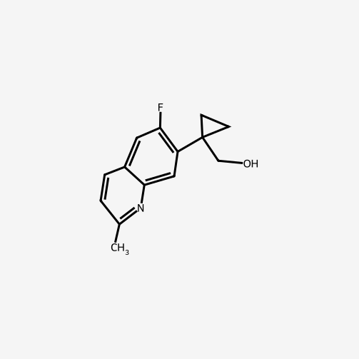 Cc1ccc2cc(F)c(C3(CO)CC3)cc2n1